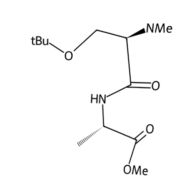 CN[C@H](COC(C)(C)C)C(=O)N[C@@H](C)C(=O)OC